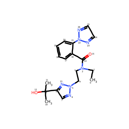 CCN(CCn1ncc(C(C)(C)O)n1)C(=O)c1ccccc1-n1nccn1